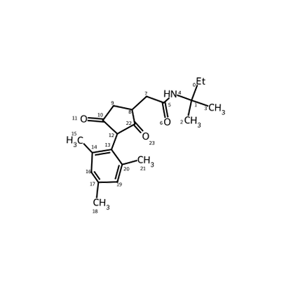 CCC(C)(C)NC(=O)CC1CC(=O)C(c2c(C)cc(C)cc2C)C1=O